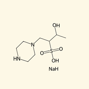 CC(O)C(CN1CCNCC1)S(=O)(=O)O.[NaH]